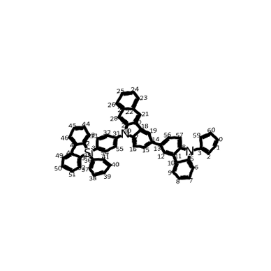 c1ccc(-n2c3ccccc3c3cc(-c4ccc5c(c4)c4cc6ccccc6cc4n5-c4ccc([Si]5(c6ccccc6)c6ccccc6-c6ccccc65)cc4)ccc32)cc1